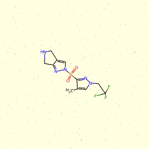 Cc1cn(CC(F)(F)F)nc1S(=O)(=O)n1cc2c(n1)CNC2